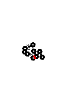 c1ccc(-c2nc3ccc4ccc5ccc(N(c6ccccc6)c6ccccc6-c6ccccc6-c6ccccc6-c6ccccc6)cc5c4c3o2)cc1